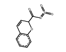 O=C(N=S(=O)=O)C1C=Cc2ccccc2O1